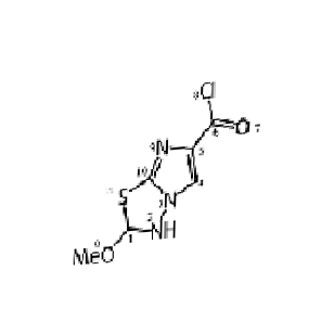 COC1Nn2cc(C(=O)Cl)nc2S1